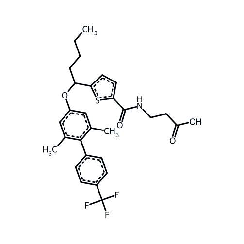 CCCCC(Oc1cc(C)c(-c2ccc(C(F)(F)F)cc2)c(C)c1)c1ccc(C(=O)NCCC(=O)O)s1